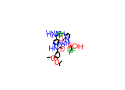 CCOc1cc(C(Nc2ccc(C(=N)N)cc2)C(=O)NNC(=O)c2ncccc2Br)ccc1OC(C)C.O=C(O)C(F)(F)F